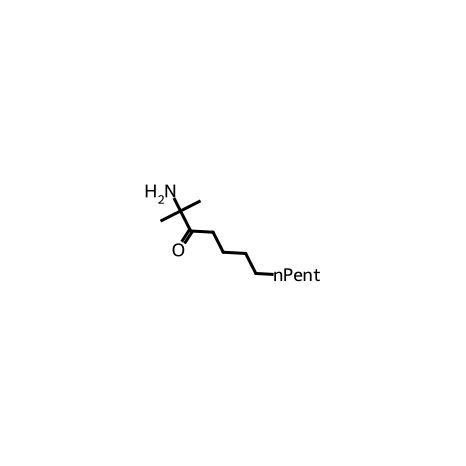 CCCCCCCCCC(=O)C(C)(C)N